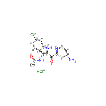 CCC(=O)Nc1c(C(=O)c2cc(N)ccn2)[nH]c2cc(Cl)ccc12.Cl